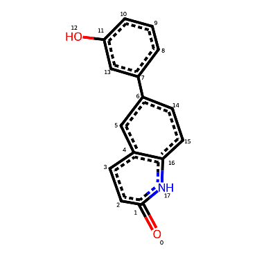 O=c1ccc2cc(-c3cccc(O)c3)ccc2[nH]1